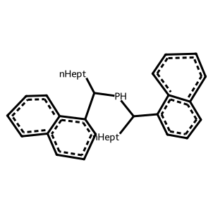 CCCCCCCC(PC(CCCCCCC)c1cccc2ccccc12)c1cccc2ccccc12